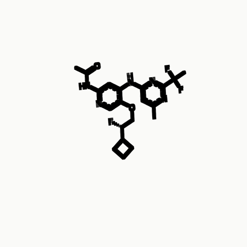 CC(=O)Nc1cc(Nc2cc(C)nc(C(C)(F)F)n2)c(OC[C@@H](F)C2CCC2)cn1